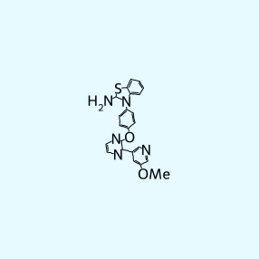 COc1cncc(-c2nccnc2Oc2ccc(N3c4ccccc4SC3N)cc2)c1